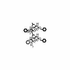 CC(C)C[C@H](NC(=O)OCc1ccccc1)C(=O)N/C(=C/N1CCCCC1)C(N)=O.CC(C)C[C@H](NC(=O)OCc1ccccc1)C(=O)N/C(=C/Nc1ccccc1)C(N)=O